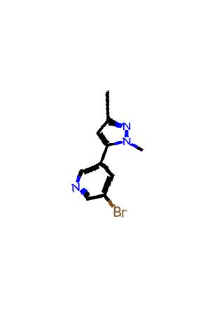 Cc1cc(-c2cncc(Br)c2)n(C)n1